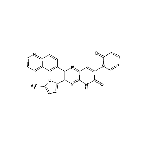 Cc1ccc(-c2nc3[nH]c(=O)c(-n4ccccc4=O)cc3nc2-c2ccc3ncccc3c2)o1